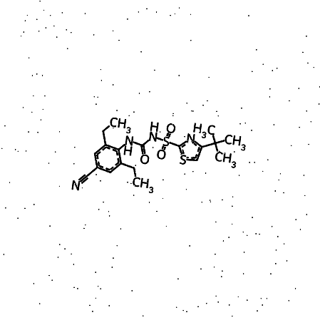 CCc1cc(C#N)cc(CC)c1NC(=O)NS(=O)(=O)c1nc(C(C)(C)C)cs1